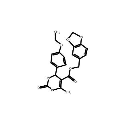 CCOc1ccc(C2NC(=O)NC(C)=C2C(=O)OCc2ccc3c(c2)OCO3)cc1